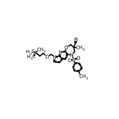 Cc1ccc(S(=O)(=O)N2CC(C)(C#N)COc3nc4c(ccn4COCC[Si](C)(C)C)cc32)cc1